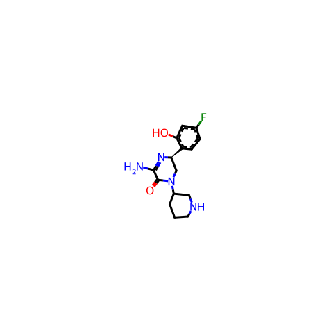 NC1=N[C@@H](c2ccc(F)cc2O)CN(C2CCCNC2)C1=O